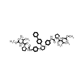 COC(=O)N[C@H](C(=O)N1CCC[C@H]1C(=O)Nc1ccc([C@@H]2CC[C@@H](c3ccc(NC(=O)[C@@H]4CCCN4C(=O)[C@@H](NC(=O)OC)C(C)C)cc3)N2c2ccc(-c3ccccc3)cc2)cc1)C(C)C